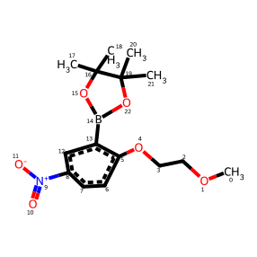 COCCOc1ccc([N+](=O)[O-])cc1B1OC(C)(C)C(C)(C)O1